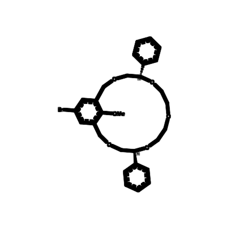 COc1c2cc(Br)cc1COC[C@H](c1ccccc1)OCCOCCO[C@@H](c1ccccc1)COC2